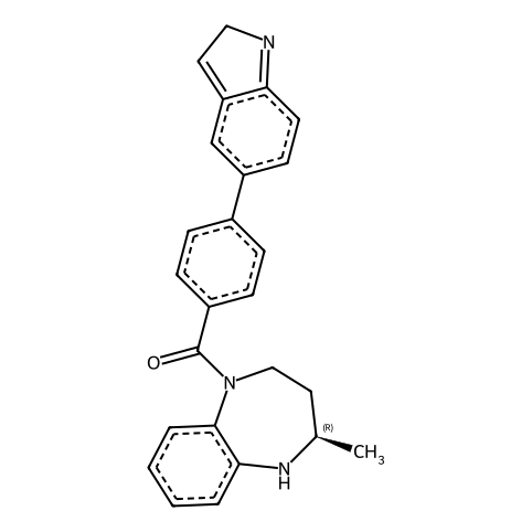 C[C@@H]1CCN(C(=O)c2ccc(-c3ccc4c(c3)=CCN=4)cc2)c2ccccc2N1